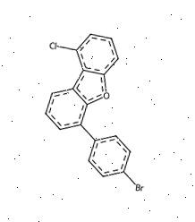 Clc1cccc2oc3c(-c4ccc(Br)cc4)cccc3c12